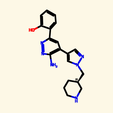 Nc1nnc(-c2ccccc2O)cc1-c1cnn(C[C@@H]2CCCNC2)c1